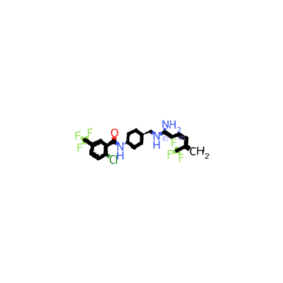 C=C(/C=C\C=C(/N)NC[C@H]1CC[C@H](NC(=O)c2cc(C(F)(F)F)ccc2Cl)CC1)C(F)(F)F